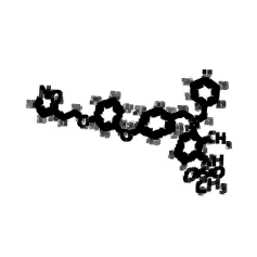 Cc1c(NS(C)(=O)=O)cccc1N(Cc1ccccc1)Cc1ccc(Oc2cccc(OCCc3ccno3)c2)cc1